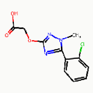 Cn1nc(OCC(=O)O)nc1-c1ccccc1Cl